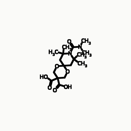 CN(C)C(=O)N1C(C)(C)CC2(CC1(C)C)OCC(C(=O)O)(C(=O)O)CO2